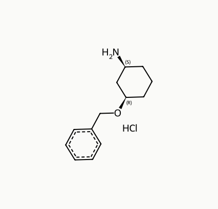 Cl.N[C@H]1CCC[C@@H](OCc2ccccc2)C1